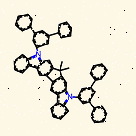 CC1(C)c2cc3c(cc2-c2cc4c5ccccc5n(-c5cc(-c6ccccc6)cc(-c6ccccc6)c5)c4cc21)c1ccccc1n3-c1cc(-c2ccccc2)cc(-c2ccccc2)c1